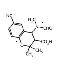 CN(C=O)C1c2cc(C#N)ccc2OC(C)(C)C1C(=O)O